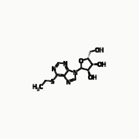 CCSc1ncnc2c1ncn2C1O[C@H](CO)[C@@H](O)[C@H]1O